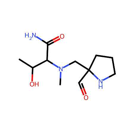 CC(O)C(C(N)=O)N(C)CC1(C=O)CCCN1